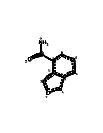 NC(=O)c1cccc2cocc12